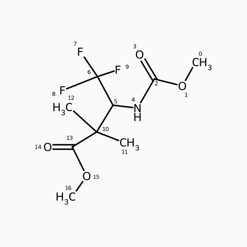 COC(=O)NC(C(F)(F)F)C(C)(C)C(=O)OC